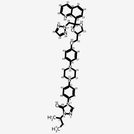 CCC(C)n1ncn(-c2ccc(N3CCN(c4ccc(OCC5COC(Cn6nccn6)(c6cccc7cccnc67)O5)cc4)CC3)cc2)c1=O